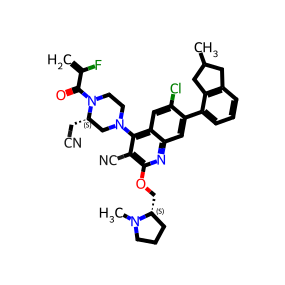 C=C(F)C(=O)N1CCN(c2c(C#N)c(OC[C@@H]3CCCN3C)nc3cc(-c4cccc5c4CC(C)C5)c(Cl)cc23)C[C@@H]1CC#N